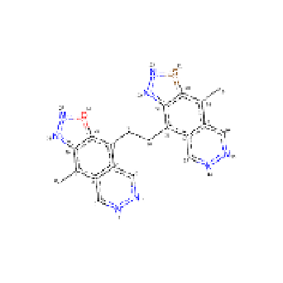 Cc1c2cnncc2c(CCc2c3cnncc3c(C)c3snnc23)c2onnc12